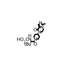 Cc1ncc2n1CCN(C1CCN(C(=O)[C@H](NC(=O)O)C(C)(C)C)CC1)C2=O